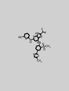 Cc1cnc(-c2ccc(Nc3cc(Nc4cccc(C#N)n4)nc4[nH]c(C(F)F)nc34)c(S(C)(=O)=O)c2)s1